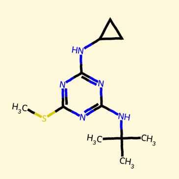 CSc1nc(NC2CC2)nc(NC(C)(C)C)n1